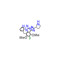 COc1c(F)c(OC)c2c(nc(N)n3nc(C4CCCNC4)nc23)c1Cc1ccccc1